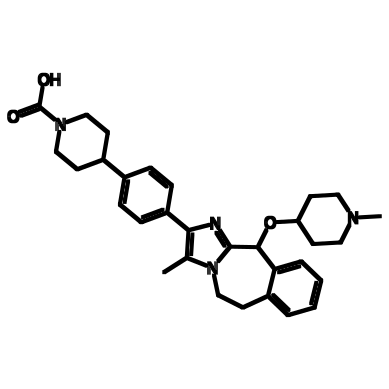 Cc1c(-c2ccc(C3CCN(C(=O)O)CC3)cc2)nc2n1CCc1ccccc1C2OC1CCN(C)CC1